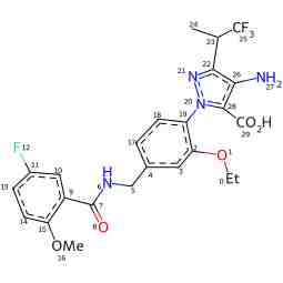 CCOc1cc(CNC(=O)c2cc(F)ccc2OC)ccc1-n1nc(C(C)C(F)(F)F)c(N)c1C(=O)O